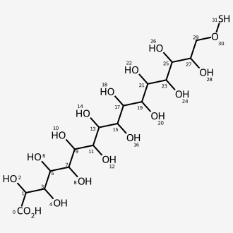 O=C(O)C(O)C(O)C(O)C(O)C(O)C(O)C(O)C(O)C(O)C(O)C(O)C(O)C(O)C(O)COS